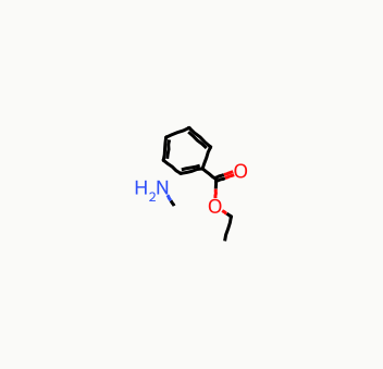 CCOC(=O)c1ccccc1.CN